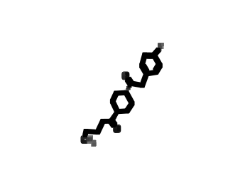 CCCCC(=O)[C@H]1CC[C@H](C(=O)Cc2ccc(F)cc2)CC1